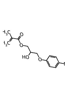 C=C(C)C(=O)OCC(O)COc1ccc(N)cc1